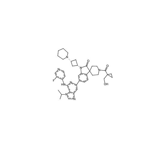 CC(C)n1cnc2cc(-c3ccc4c(c3)N([C@H]3C[C@@H](N5CCCCC5)C3)C(=O)C43CCN(C(=O)C4(CO)CC4)CC3)nc(Nc3ccncc3F)c21